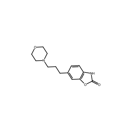 O=c1[nH]c2ccc(CCCN3CCOCC3)cc2o1